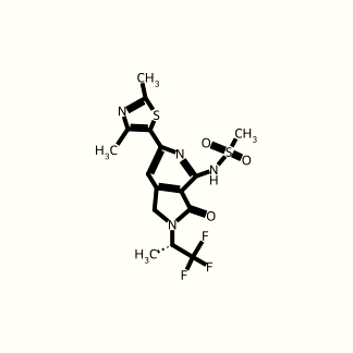 Cc1nc(C)c(-c2cc3c(c(NS(C)(=O)=O)n2)C(=O)N([C@@H](C)C(F)(F)F)C3)s1